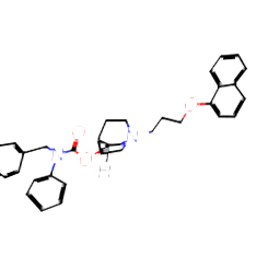 O=C(O[C@H]1C[N+]2(CCCOc3cccc4ccccc34)CCC1CC2)N(Cc1ccccc1)c1ccccc1